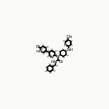 N#Cc1ccc(N[C@H]2CC[C@H](N(C(=O)NCc3ccccc3)c3ccc(-c4ccc(=O)[nH]c4)cn3)CC2)nc1